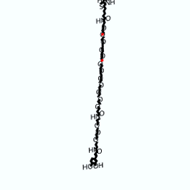 O=C(C=Cc1ccc(O)c(O)c1)NCCCOCCOCCOCCCNC(=O)CCOCCOCCOCCOCCOCCOCCOCCOCCOCCOCCOCCOCCNC(=O)CCCCC1SCC2NC(=O)NC21